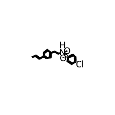 CC=Cc1ccc(CCNS(=O)(=O)c2ccc(Cl)cc2)cc1